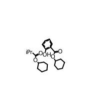 CC(C)C(=O)OC1CCCCC1.O=C(OC1CCCCC1)c1ccccc1O